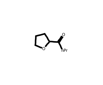 [CH2]CCC(=O)C1CCCO1